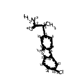 CC(C(N)=O)c1ccc2c(c1)sc1ccc(Cl)cc12